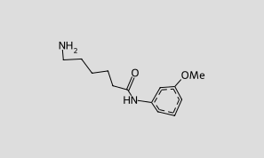 COc1cccc(NC(=O)CCCCCN)c1